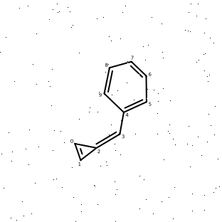 C1=CC1=Cc1ccccc1